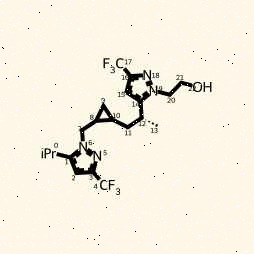 CC(C)c1cc(C(F)(F)F)nn1CC1CC1C[C@@H](C)c1cc(C(F)(F)F)nn1CCO